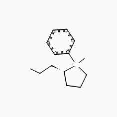 B[PH]1(c2ccccc2)CCC[C@H]1CCO